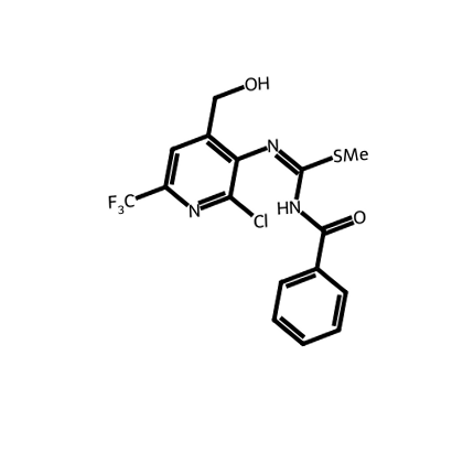 CS/C(=N/c1c(CO)cc(C(F)(F)F)nc1Cl)NC(=O)c1ccccc1